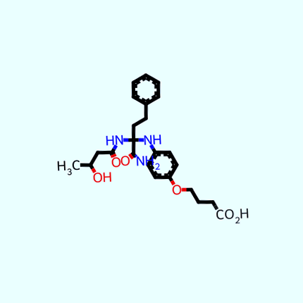 CC(O)CC(=O)NC(CCc1ccccc1)(Nc1ccc(OCCCC(=O)O)cc1)C(N)=O